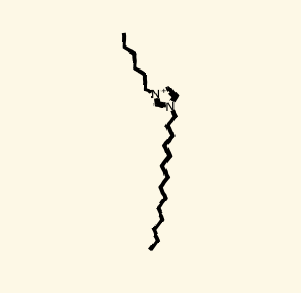 CCCCCCCCCCCCCCn1cc[n+](CCCCCC)c1